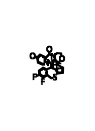 O=C1c2cc(=O)ccn2N(C2c3ccc(F)c(F)c3CSc3ccsc32)[C@@H]2COCCN12